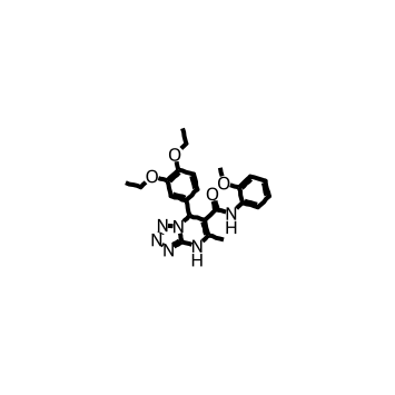 CCOc1ccc(C2C(C(=O)Nc3ccccc3OC)=C(C)Nc3nnnn32)cc1OCC